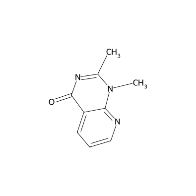 Cc1nc(=O)c2cccnc2n1C